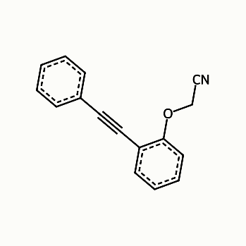 N#CCOc1ccccc1C#Cc1ccccc1